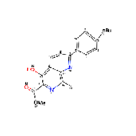 CCCCc1ccc(-c2ccc3c(O)c(C(=O)OC)nc(C)c3n2)cc1